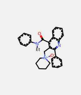 CCN(C(=O)c1c(C[N+]2([O-])CCCCC2)c(-c2ccccc2)nc2ccccc12)c1ccccc1